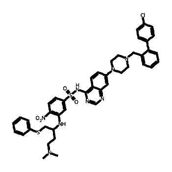 CN(C)CCC(CSc1ccccc1)Nc1cc(S(=O)(=O)Nc2ncnc3cc(N4CCN(Cc5ccccc5-c5ccc(Cl)cc5)CC4)ccc23)ccc1[N+](=O)[O-]